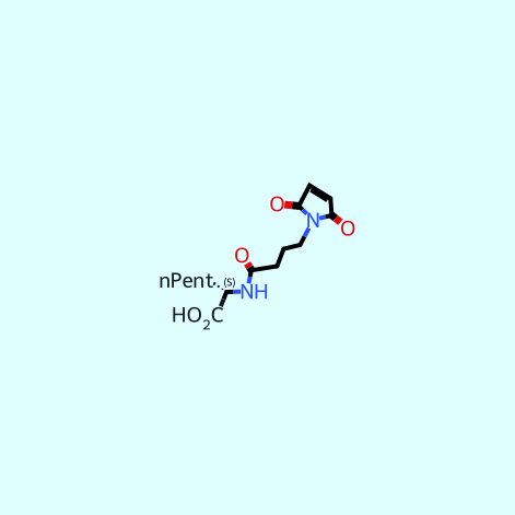 CCCCC[C@H](NC(=O)CCCN1C(=O)C=CC1=O)C(=O)O